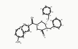 Cc1ccn2nc(C(=O)N3CC(=O)N(Cc4ccccc4)[C@@H](Cc4ccccc4)C3)cc2c1